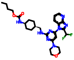 CCCCOC(=O)N[C@H]1CC[C@H](CNc2nc(N3CCOCC3)cc(-n3c(C(F)F)nc4ncccc43)n2)CC1